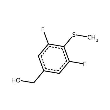 CSc1c(F)cc(CO)cc1F